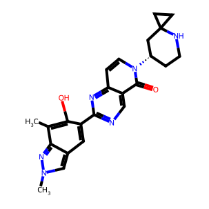 Cc1c(O)c(-c2ncc3c(=O)n([C@H]4CCNC5(CC5)C4)ccc3n2)cc2cn(C)nc12